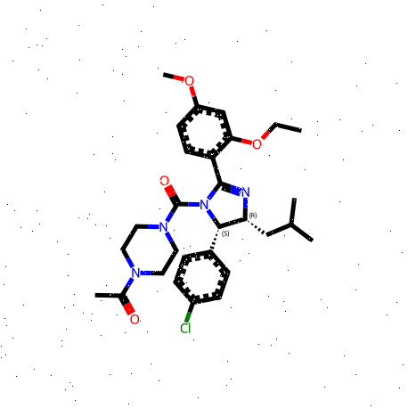 CCOc1cc(OC)ccc1C1=N[C@H](CC(C)C)[C@H](c2ccc(Cl)cc2)N1C(=O)N1CCN(C(C)=O)CC1